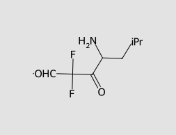 CC(C)CC(N)C(=O)C(F)(F)[C]=O